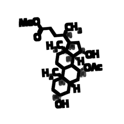 COC(=O)CC[C@@H](C)[C@H]1C[C@H](O)[C@H]2C3C(CC[C@]12C)[C@@]1(C)CC[C@@H](O)C[C@H]1C[C@H]3OC(C)=O